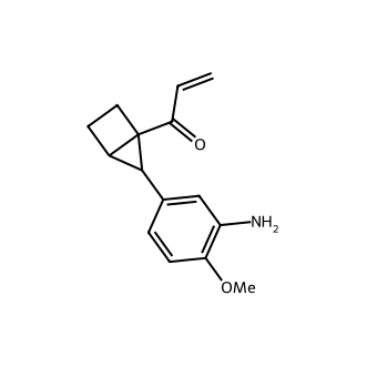 C=CC(=O)C12CCC1C2c1ccc(OC)c(N)c1